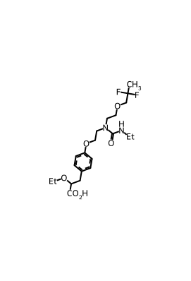 CCNC(=O)N(CCOCC(C)(F)F)CCOc1ccc(CC(OCC)C(=O)O)cc1